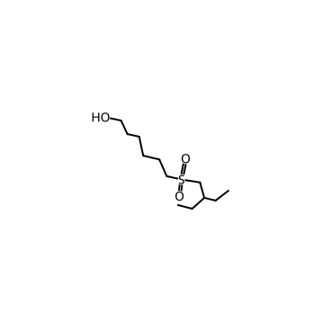 CCC(CC)CS(=O)(=O)CCCCCCO